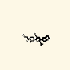 COCCC(=O)N1CCN(c2nc(C3CC3)c(-c3ccc4ncccc4c3)cc2C#N)CC1C